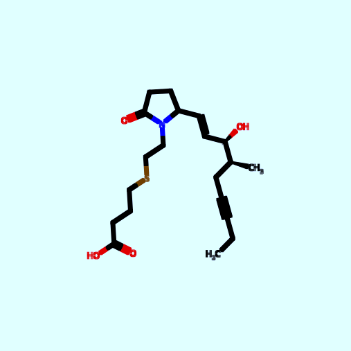 CCC#CC[C@H](C)[C@H](O)C=CC1CCC(=O)N1CCSCCCC(=O)O